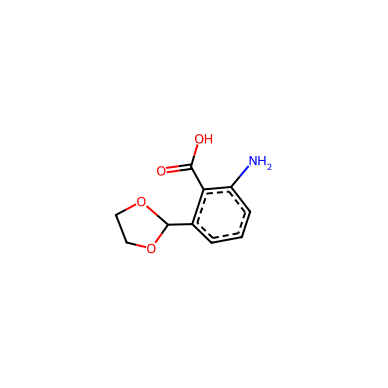 Nc1cccc(C2OCCO2)c1C(=O)O